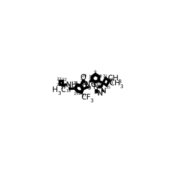 Cn1cnnc1C1(c2cccc(N3Cc4c(cc(CNC5(C)CCC5)cc4C(F)(F)F)C3=O)c2)CC(C)(C)C1